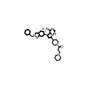 Nc1ncnn2c(C3CCN(C(=O)CCN4CCCCC4)CC3)cc(-c3ccc4cn(Cc5ccccc5)nc4c3)c12